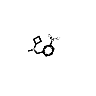 CN(Cc1cccc([N+](=O)[O-])c1)C1CCC1